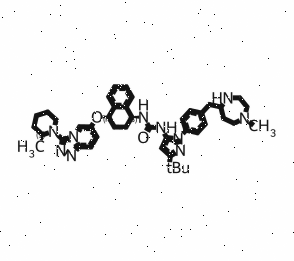 C[C@H]1CCCCN1c1nnc2ccc(O[C@@H]3CC[C@H](NC(=O)Nc4cc(C(C)(C)C)nn4-c4ccc(CC5CCN(C)CCN5)cc4)c4ccccc43)cn12